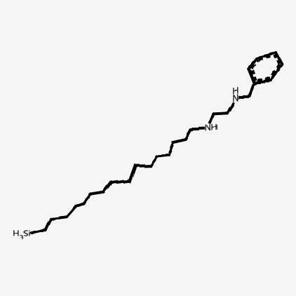 [SiH3]CCCCCCCCCCCCCCCCNCCNCc1ccccc1